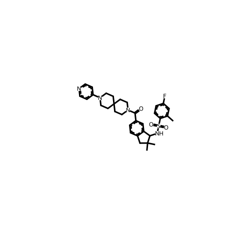 Cc1cc(F)ccc1S(=O)(=O)NC1c2cc(C(=O)N3CCC4(CC3)CCN(c3ccncc3)CC4)ccc2CC1(C)C